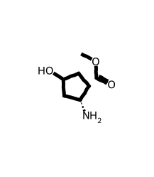 COC=O.N[C@H]1CCC(O)C1